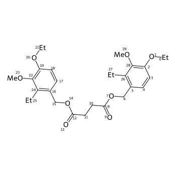 CCOc1ccc(COC(=O)CCC(=O)OCc2ccc(OCC)c(OC)c2CC)c(CC)c1OC